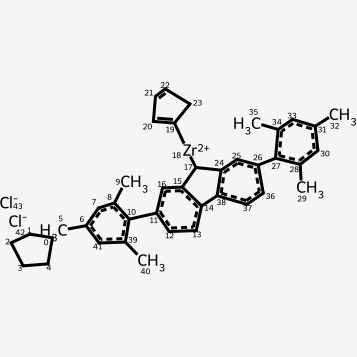 C1CCCC1.Cc1cc(C)c(-c2ccc3c(c2)[CH]([Zr+2][C]2=CC=CC2)c2cc(-c4c(C)cc(C)cc4C)ccc2-3)c(C)c1.[Cl-].[Cl-]